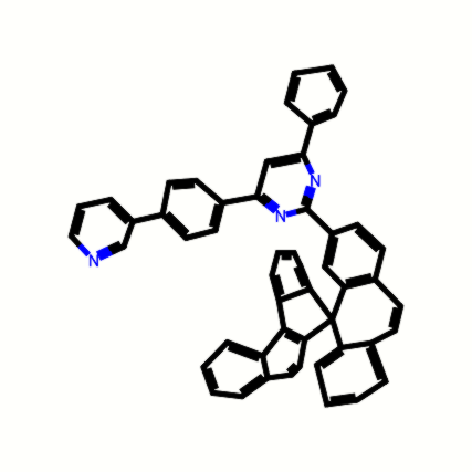 C1=Cc2ccc(-c3nc(-c4ccccc4)cc(-c4ccc(-c5cccnc5)cc4)n3)cc2C2(c3ccccc31)c1ccccc1-c1c2ccc2ccccc12